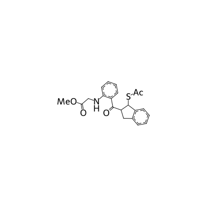 COC(=O)CNc1ccccc1C(=O)C1Cc2ccccc2C1SC(C)=O